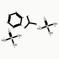 CC(C)C.O=P(O)(O)O.O=P(O)(O)O.c1ccccc1